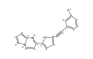 Fc1cccc(C#Cc2ccc(-c3ccn4nccc4n3)s2)c1